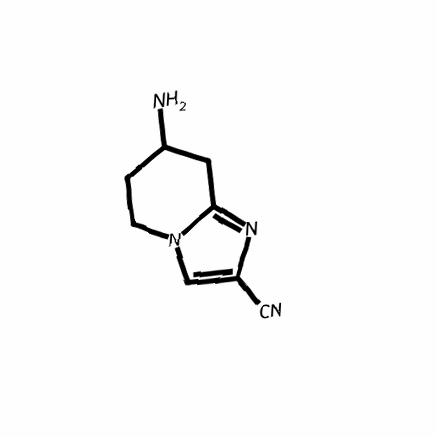 N#Cc1cn2c(n1)CC(N)CC2